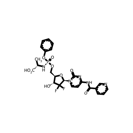 C[C@H](N[P@](=O)(OC[C@H]1O[C@@H](n2ccc(NC(=O)c3cccnc3)nc2=O)C(F)(F)[C@@H]1O)Oc1ccccc1)C(=O)O